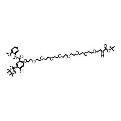 COc1ccccc1N(C)C(=O)c1cc(B2OC(C)(C)C(C)(C)O2)c(Cl)cc1OCCOCCOCCOCCOCCOCCOCCOCCOCCNC(=O)OC(C)(C)C